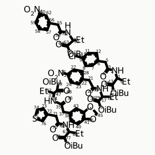 CCC(NC(=O)Cc1ccc(Cl)cc1)C(=O)OCC(C)C.CCC(NC(=O)Cc1ccc([N+](=O)[O-])cc1)C(=O)OCC(C)C.CCC(NC(=O)Cc1ccc2c(c1)OCO2)C(=O)OCC(C)C.CCC(NC(=O)Cc1cccc([N+](=O)[O-])c1)C(=O)OCC(C)C.CCC(NC(=O)Cc1ccsc1)C(=O)OCC(C)C